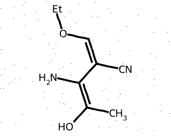 CCO/C=C(C#N)\C(N)=C(/C)O